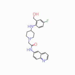 O=C(CN1CCC(Nc2ccc(F)cc2CO)CC1)Nc1ccc2ncccc2c1